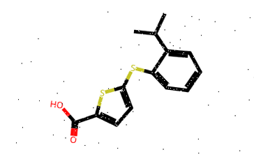 CC(C)c1ccccc1Sc1ccc(C(=O)O)s1